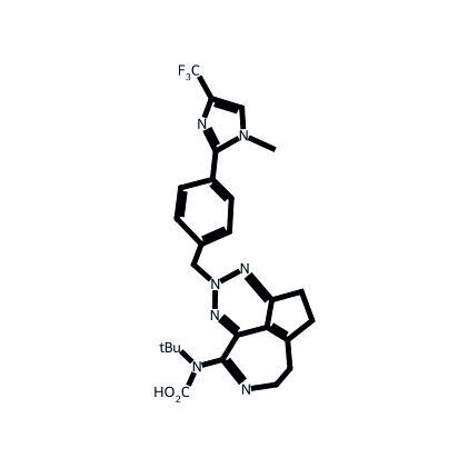 Cn1cc(C(F)(F)F)nc1-c1ccc(CN2N=C3CCC4=C3C(=N2)C(N(C(=O)O)C(C)(C)C)=NCC4)cc1